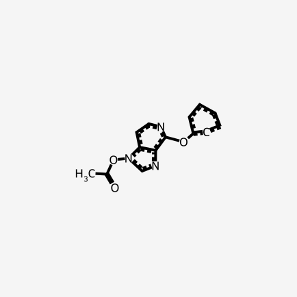 CC(=O)On1cnc2c(Oc3ccccc3)nccc21